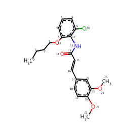 CCCCOc1cccc(Cl)c1NC(=O)/C=C/c1ccc(OC)c(OC)c1